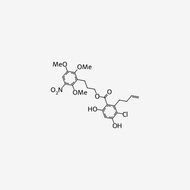 C=CCCc1c(Cl)c(O)cc(O)c1C(=O)OCCCc1c(OC)c(OC)cc([N+](=O)[O-])c1OC